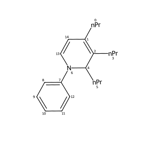 CCCC1=C(CCC)C(CCC)N(c2ccccc2)C=C1